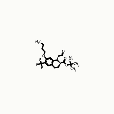 CCCCOc1cc2c(cc1C(F)(F)F)CCN(C(=O)OC(C)(C)C)[C@@H]2CC=O